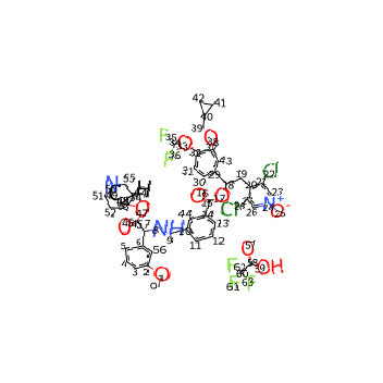 COc1cccc(C(NCc2cccc(C(=O)OC(Cc3c(Cl)c[n+]([O-])cc3Cl)c3ccc(OC(F)F)c(OCC4CC4)c3)c2)C(=O)O[C@H]2CN3CCC2CC3)c1.O=C(O)C(F)(F)F